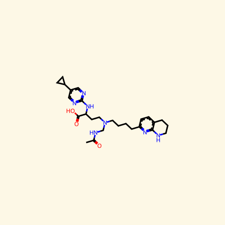 CC(=O)NCN(CCCCc1ccc2c(n1)NCCC2)CCC(Nc1ncc(C2CC2)cn1)C(=O)O